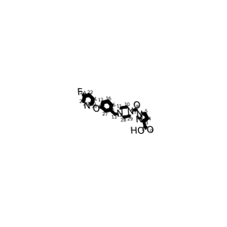 O=C(O)c1ccn(C(=O)N2CCN(Cc3cccc(Oc4ccc(F)cn4)c3)CC2)n1